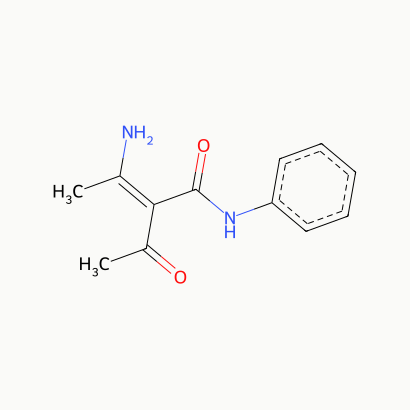 CC(=O)/C(C(=O)Nc1ccccc1)=C(\C)N